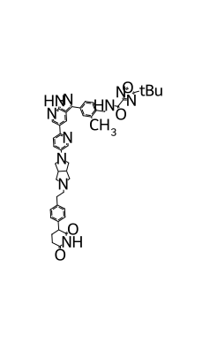 Cc1cc(-c2n[nH]c3ncc(-c4ccc(N5CC6CN(CCc7ccc(C8CCC(=O)NC8=O)cc7)CC6C5)cn4)cc23)ccc1CNC(=O)c1noc(C(C)(C)C)n1